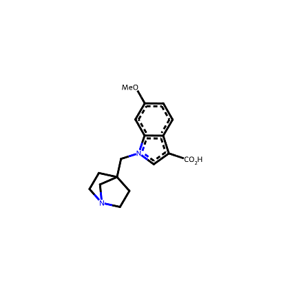 COc1ccc2c(C(=O)O)cn(CC34CCN(CC3)C4)c2c1